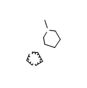 CN1CCC[C@H](c2cnco2)C1